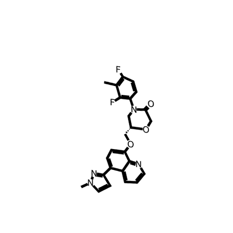 Cc1c(F)ccc(N2C[C@@H](COc3ccc(-c4ccn(C)n4)c4cccnc34)OCC2=O)c1F